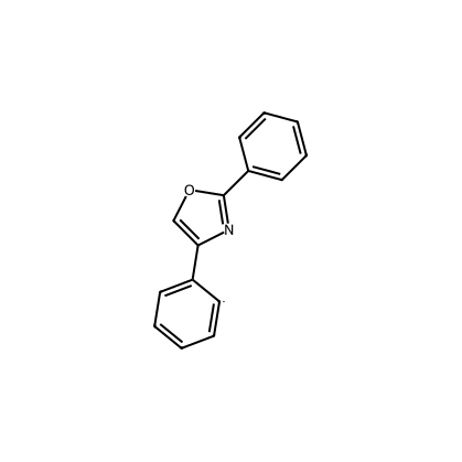 [c]1ccccc1-c1coc(-c2ccccc2)n1